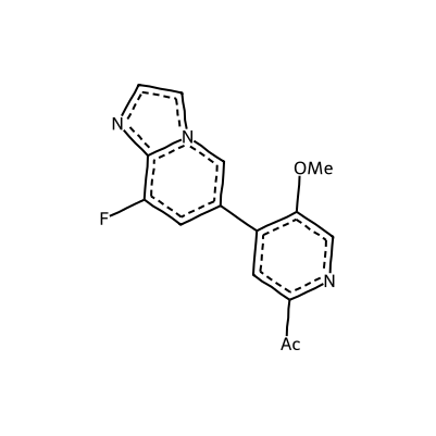 COc1cnc(C(C)=O)cc1-c1cc(F)c2nccn2c1